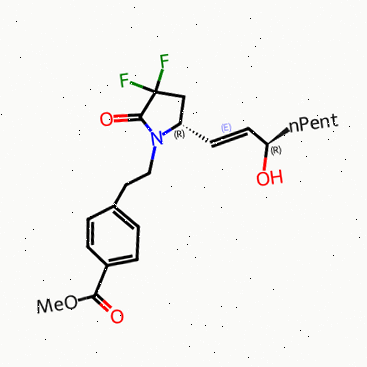 CCCCC[C@@H](O)/C=C/[C@H]1CC(F)(F)C(=O)N1CCc1ccc(C(=O)OC)cc1